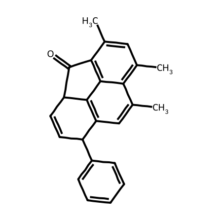 Cc1cc(C)c2c(C)cc3c4c2c1C(=O)C4C=CC3c1ccccc1